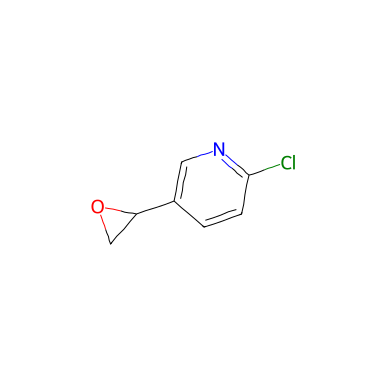 Clc1ccc(C2CO2)cn1